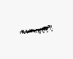 CC(C)=CCC/C(C)=C/C=C/C(C)=C/C=C/C(C)=C/C=C/C=C(C)/C=C/C=C(\C)C=O